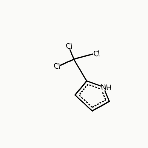 ClC(Cl)(Cl)c1ccc[nH]1